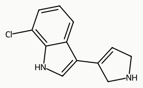 Clc1cccc2c(C3=CCNC3)c[nH]c12